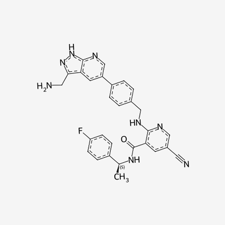 C[C@H](NC(=O)c1cc(C#N)cnc1NCc1ccc(-c2cnc3[nH]nc(CN)c3c2)cc1)c1ccc(F)cc1